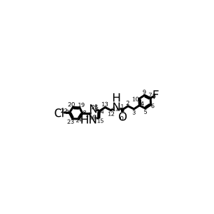 O=C(CCc1ccc(F)cc1)NCCc1c[nH]c(-c2ccc(Cl)cc2)n1